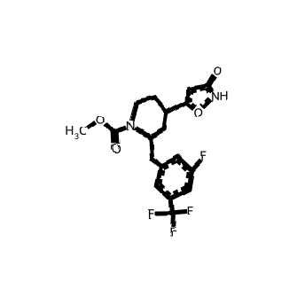 COC(=O)N1CCC(c2cc(=O)[nH]o2)CC1Cc1cc(F)cc(C(F)(F)F)c1